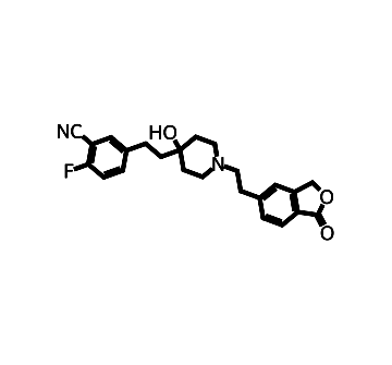 N#Cc1cc(CCC2(O)CCN(CCc3ccc4c(c3)COC4=O)CC2)ccc1F